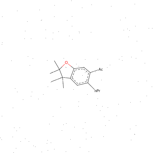 CCCc1cc2c(cc1C(C)=O)OC(C)(C)C2(C)C